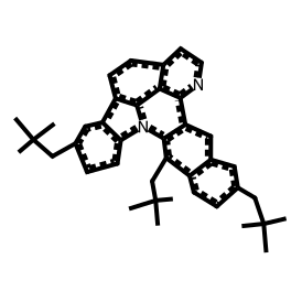 CC(C)(C)Cc1ccc2c(CC(C)(C)C)c3c(cc2c1)c1nccc2ccc4c5cc(CC(C)(C)C)ccc5n3c4c21